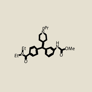 CCCN1CCC(=C(c2ccc(C(=O)N(CC)CC)cc2)c2cccc(NC(=O)OC)c2)CC1